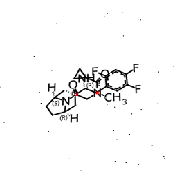 CN(CC(=O)N1[C@@H]2CC[C@H]1C[C@H]([C@H](N)Cc1cc(F)c(F)cc1F)C2)C(=O)C1CC1